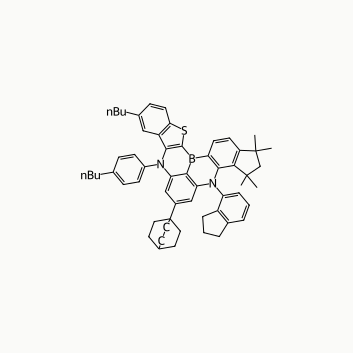 CCCCc1ccc(N2c3cc(C45CCC(CC4)CC5)cc4c3B(c3ccc5c(c3N4c3cccc4c3CCC4)C(C)(C)CC5(C)C)c3sc4ccc(CCCC)cc4c32)cc1